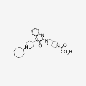 O=C(O)C(=O)N1CC2CN(c3nc4ccccc4n(C4CCN(C5CCCCCCC5)CC4)c3=O)CC2C1